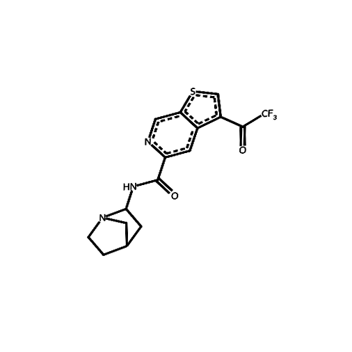 O=C(NC1CC2CCN1C2)c1cc2c(C(=O)C(F)(F)F)csc2cn1